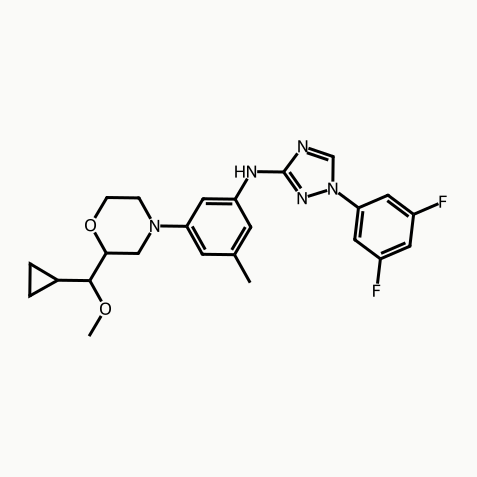 COC(C1CC1)C1CN(c2cc(C)cc(Nc3ncn(-c4cc(F)cc(F)c4)n3)c2)CCO1